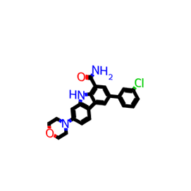 NC(=O)c1cc(-c2cccc(Cl)c2)cc2c1[nH]c1cc(N3CCOCC3)ccc12